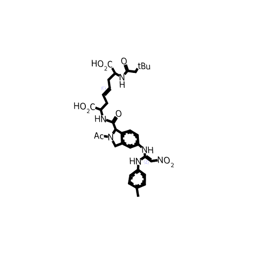 CC(=O)N1Cc2cc(N/C(=C\[N+](=O)[O-])Nc3ccc(C)cc3)ccc2C1C(=O)NC(C/C=C/CC(NC(=O)CC(C)(C)C)C(=O)O)C(=O)O